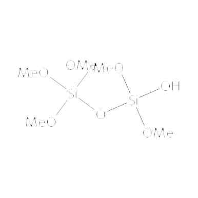 CO[Si](O)(OC)O[Si](OC)(OC)OC